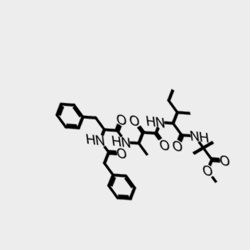 CCC(C)C(NC(=O)C(=O)C(C)NC(=O)C(Cc1ccccc1)NC(=O)Cc1ccccc1)C(=O)NC(C)(C)C(=O)OC